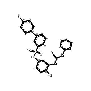 O=C(Nc1ccccc1)Nc1cc(NS(=O)(=O)c2cccc(-c3ccc(F)cc3)c2)ccc1Cl